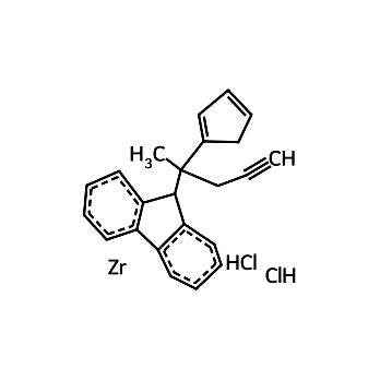 C#CCC(C)(C1=CC=CC1)C1c2ccccc2-c2ccccc21.Cl.Cl.[Zr]